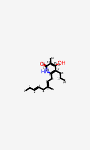 CC/C=C/C/C(C)=C/Cc1[nH]c(=O)c(C)c(O)c1CCC